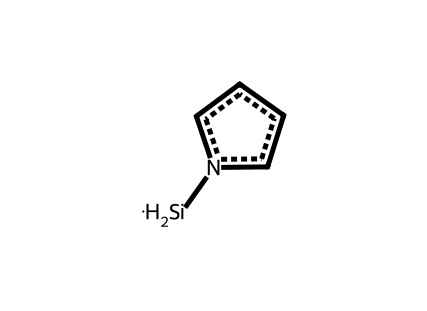 [SiH2]n1cccc1